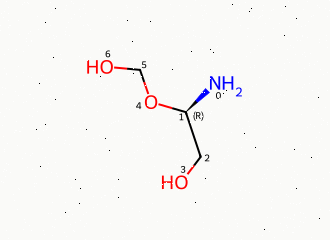 N[C@@H](CO)OCO